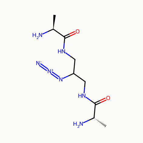 C[C@H](N)C(=O)NCC(CNC(=O)[C@H](C)N)N=[N+]=[N-]